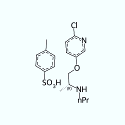 CCCN[C@H](C)COc1ccc(Cl)nc1.Cc1ccc(S(=O)(=O)O)cc1